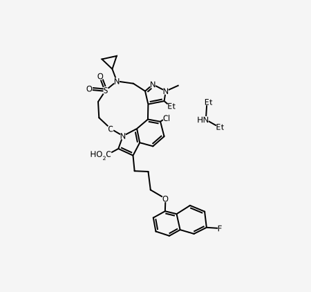 CCNCC.CCc1c2c(nn1C)CN(C1CC1)S(=O)(=O)CCCn1c(C(=O)O)c(CCCOc3cccc4cc(F)ccc34)c3ccc(Cl)c-2c31